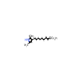 Cc1cc(CCCCCCCCS(=O)(=O)O)c(C)[nH]1